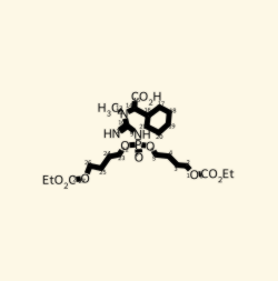 CCOC(=O)OCCCCOP(=O)(NC(=N)N(C)C(C(=O)O)C1CCCCC1)OCCCCOC(=O)OCC